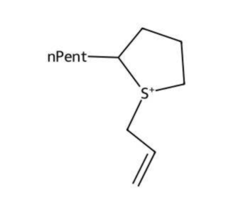 C=CC[S+]1CCCC1CCCCC